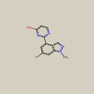 Cn1ncc2c(-c3nccc(O)n3)cc(Cl)cc21